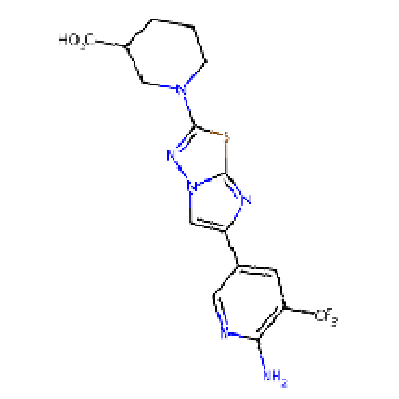 Nc1ncc(-c2cn3nc(N4CCCC(C(=O)O)C4)sc3n2)cc1C(F)(F)F